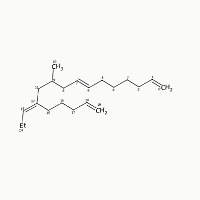 C=CCCCCC=CCC(C)CC(=CCC)CCCC=C